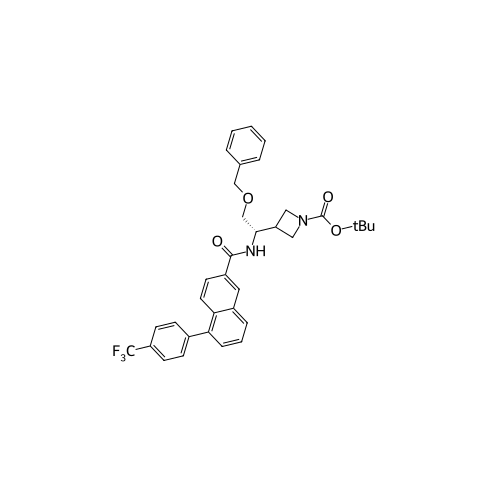 CC(C)(C)OC(=O)N1CC([C@@H](COCc2ccccc2)NC(=O)c2ccc3c(-c4ccc(C(F)(F)F)cc4)cccc3c2)C1